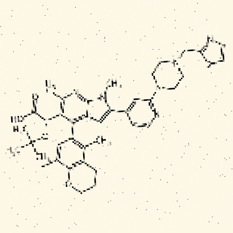 Cc1nc2c(cc(-c3ccnc(N4CCN(Cc5nccs5)CC4)c3)n2C)c(-c2cc(F)c3c(c2C)CCCO3)c1[C@H](OC(C)(C)C)C(=O)O